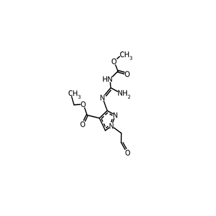 CCOC(=O)c1cn(CC=O)nc1/N=C(\N)NC(=O)OC